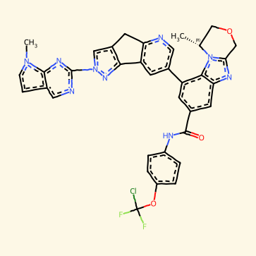 C[C@@H]1COCc2nc3cc(C(=O)Nc4ccc(OC(F)(F)Cl)cc4)cc(-c4cnc5c(c4)-c4nn(-c6ncc7ccn(C)c7n6)cc4C5)c3n21